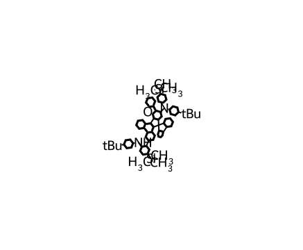 CC(C)(C)c1ccc(Nc2ccc([Si](C)(C)C)cc2-c2ccc3c4c(c5ccccc5c3c2)-c2c(cc(N(c3ccc(C(C)(C)C)cc3)c3ccc([Si](C)(C)C)cc3)c3c2oc2ccccc23)C42c3ccccc3-c3ccccc32)cc1